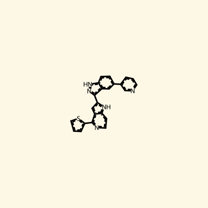 c1cncc(-c2ccc3[nH]nc(-c4cc5c(-c6cccs6)nccc5[nH]4)c3c2)c1